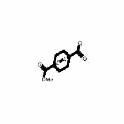 COC(=O)C12CCC(C(=O)Cl)(CC1)CC2